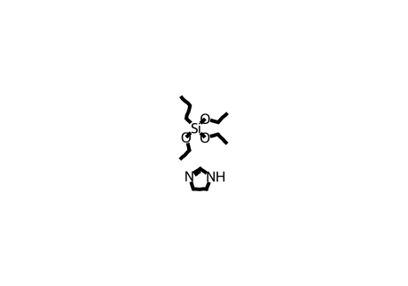 C1=NCCN1.CCC[Si](OCC)(OCC)OCC